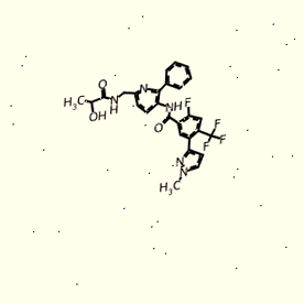 CC(O)C(=O)NCc1ccc(NC(=O)c2cc(-c3ccn(C)n3)c(C(F)(F)F)cc2F)c(-c2ccccc2)n1